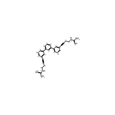 N=C(N)NCCC#Cc1cncc(-c2cccc(-c3cncc(C#CCCNC(=N)N)c3)c2)c1